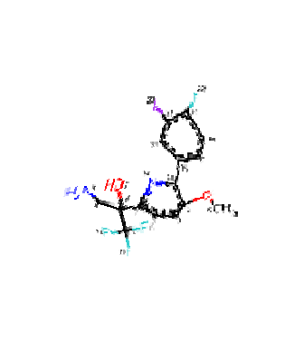 COc1ccc(C(O)(CN)C(F)(F)F)nc1-c1ccc(F)c(I)c1